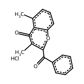 Cc1c(C(=O)c2ccccc2)oc2cccc(C)c2c1=O.Cl